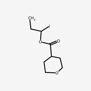 CCC(I)OC(=O)C1CCOCC1